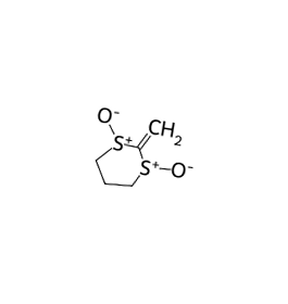 C=C1[S+]([O-])CCC[S+]1[O-]